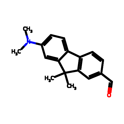 CN(C)c1ccc2c(c1)C(C)(C)c1cc(C=O)ccc1-2